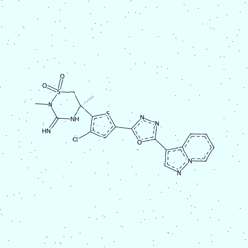 CN1C(=N)N[C@](C)(c2sc(-c3nnc(-c4cnn5ccccc45)o3)cc2Cl)CS1(=O)=O